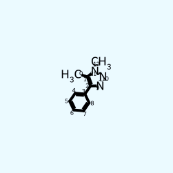 Cc1c(-c2ccccc2)nnn1C